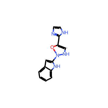 [C]1=C(c2ncc[nH]2)ON(c2cc3ccccc3[nH]2)N1